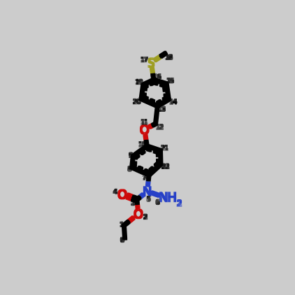 CCOC(=O)N(N)c1ccc(OCc2ccc(SC)cc2)cc1